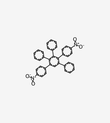 O=[N+]([O-])c1ccc(-c2cc(-c3ccccc3)c(-c3ccc([N+](=O)[O-])cc3)c(-c3ccccc3)c2-c2ccccc2)cc1